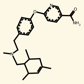 CC1=CC(C)C(CN(C)CCc2ccc(Oc3ccc(C(N)=O)cn3)cc2)C(C)C1